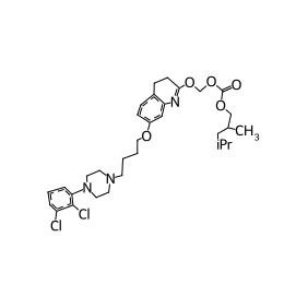 CC(C)CC(C)COC(=O)OCOC1=Nc2cc(OCCCCN3CCN(c4cccc(Cl)c4Cl)CC3)ccc2CC1